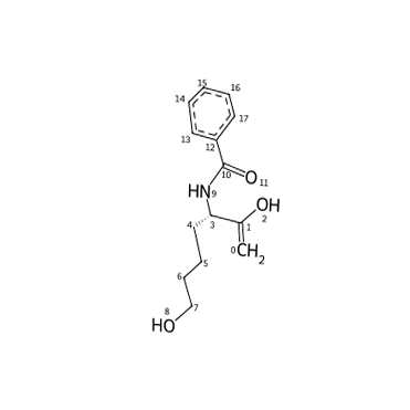 C=C(O)[C@H](CCCCO)NC(=O)c1ccccc1